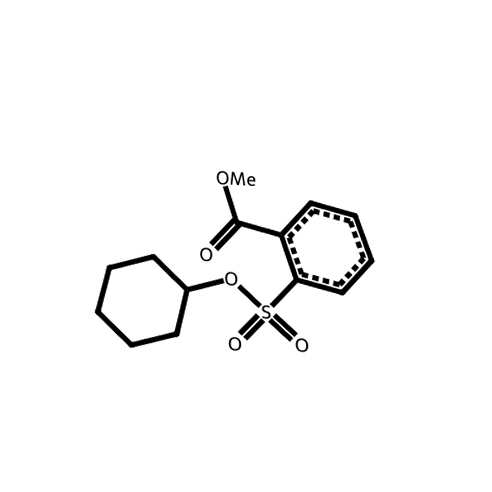 COC(=O)c1ccccc1S(=O)(=O)OC1CCCCC1